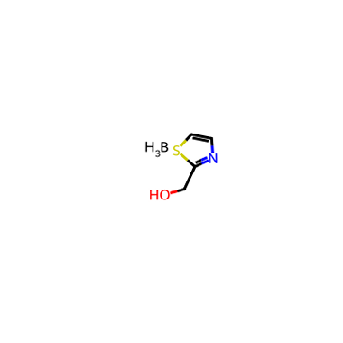 B.OCc1nccs1